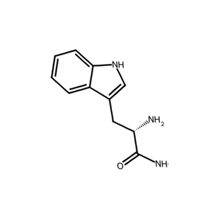 [NH]C(=O)[C@@H](N)Cc1c[nH]c2ccccc12